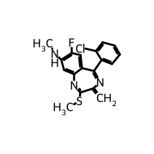 C=C1N=C(c2ccccc2Cl)c2cc(F)c(NC)cc2N=C1SC